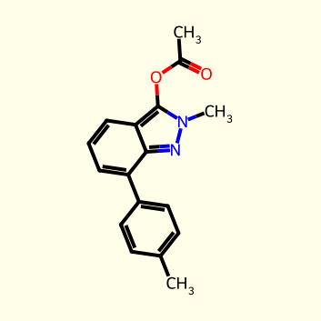 CC(=O)Oc1c2cccc(-c3ccc(C)cc3)c2nn1C